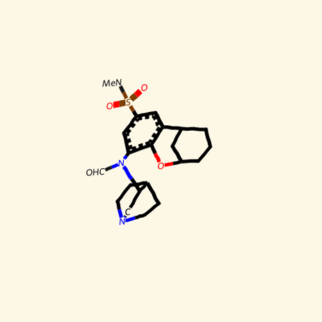 CNS(=O)(=O)c1cc2c(c(N(C=O)C3CN4CCC3CC4)c1)OC1CCCC2C1